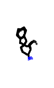 C=C1CC(N)CCC12Cc1ccccc1C2